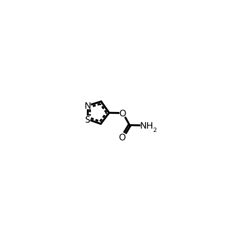 NC(=O)Oc1cnsc1